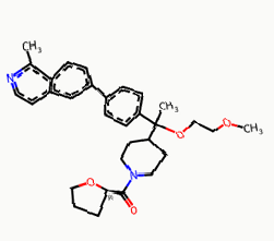 COCCOC(C)(c1ccc(-c2ccc3c(C)nccc3c2)cc1)C1CCN(C(=O)[C@H]2CCCO2)CC1